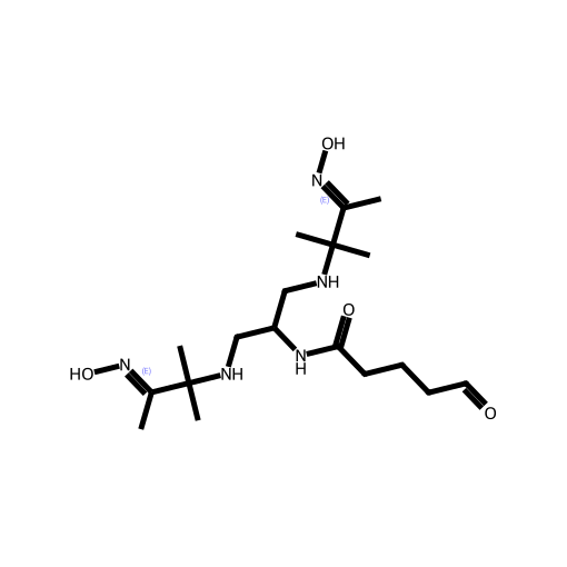 C/C(=N\O)C(C)(C)NCC(CNC(C)(C)/C(C)=N/O)NC(=O)CCCC=O